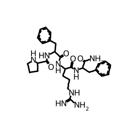 N=C(N)NCCCC(NC(=O)C(Cc1ccccc1)NC(=O)C1CCCN1)C(=O)NC(Cc1ccccc1)C(N)=O